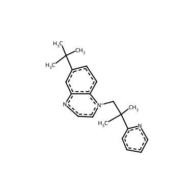 CC(C)(C)c1ccc2c(c1)ncc[n+]2CC(C)(C)c1ccccn1